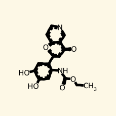 CCOC(=O)Nc1cc(O)c(O)cc1-c1cc(=O)c2cnccc2o1